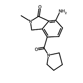 CN1Cc2c(C(=O)N3CCCC3)ccc(N)c2C1=O